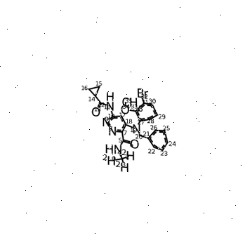 [2H]C([2H])([2H])NC(=O)c1nnc(NC(=O)C2CC2)cc1N(Cc1ccccc1)c1cccc(Br)c1OC